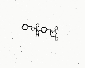 O=C1CCN(Cc2ccc(NC(=O)OCc3ccccc3)cc2)C(=O)C1